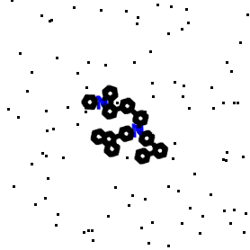 c1ccc(-c2ccccc2-c2ccc(N(c3ccc(-c4cc5ccccc5c5ccccc45)cc3)c3cccc(-c4cccc(-c5cccc6c5c5ccccc5n6-c5ccccc5)c4)c3)cc2)cc1